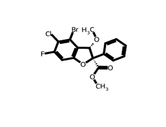 COC(=O)[C@]1(c2ccccc2)Oc2cc(F)c(Cl)c(Br)c2[C@@H]1OC